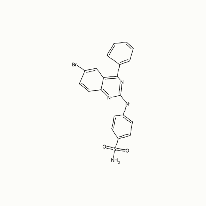 NS(=O)(=O)c1ccc([N]c2nc(-c3ccccc3)c3cc(Br)ccc3n2)cc1